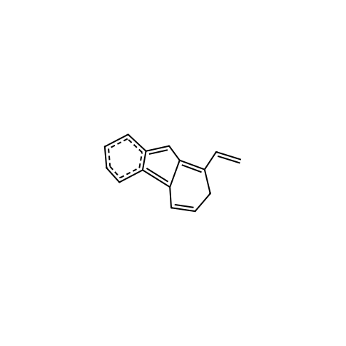 C=CC1=C2C=c3ccccc3=C2C=CC1